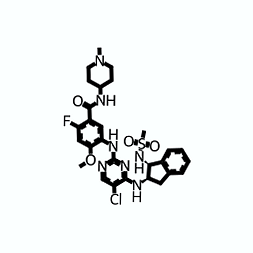 COc1cc(F)c(C(=O)NC2CCN(C)CC2)cc1Nc1ncc(Cl)c(N[C@@H]2Cc3ccccc3[C@H]2NS(C)(=O)=O)n1